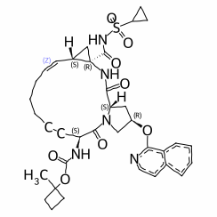 CC1(OC(=O)N[C@H]2CCCCC/C=C\[C@@H]3C[C@@]3(C(=O)NS(=O)(=O)C3CC3)NC(=O)[C@@H]3C[C@@H](Oc4nccc5ccccc45)CN3C2=O)CCC1